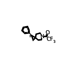 O=C(N1CCC2(CC1)C[C@H]2c1ccccc1)C(F)(F)F